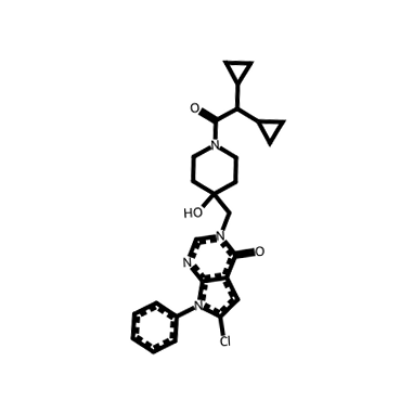 O=C(C(C1CC1)C1CC1)N1CCC(O)(Cn2cnc3c(cc(Cl)n3-c3ccccc3)c2=O)CC1